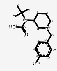 CC(C)(C)N(C(=O)O)C1CCCN(Cc2ccc(Cl)cc2)C1